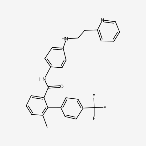 Cc1cccc(C(=O)Nc2ccc(NCCc3ccccn3)cc2)c1-c1ccc(C(F)(F)F)cc1